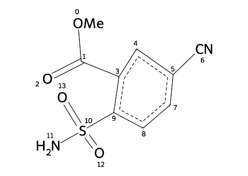 COC(=O)c1cc(C#N)ccc1S(N)(=O)=O